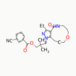 CCc1nn(CC(C)(C)COC(=O)c2cccc(C#N)c2)c2c1C(=O)NCCCOCCC2